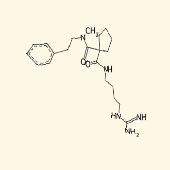 CN(CCc1ccccc1)C(=O)C1(C(=O)NCCCCNC(=N)N)CCCC1